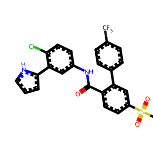 CS(=O)(=O)c1ccc(C(=O)Nc2ccc(Cl)c(-c3ccc[nH]3)c2)c(-c2ccc(C(F)(F)F)cc2)c1